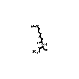 CNCCCCCC(=O)NC(CS(=O)(=O)O)C(C)=O